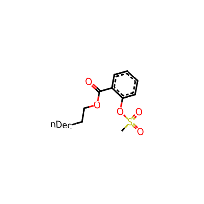 CCCCCCCCCCCCOC(=O)c1ccccc1OS(C)(=O)=O